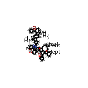 CCCCCCCC12CCC(CCCCC)(CCCCC)CCC3(CCCCCCC)c4ccccc4-c4c3c1c(c1oc3ccccc3c41)-c1ccc(N(c3ccc4c(c3)C(C)(C)c3cc5c(cc3-4)C(C)(C)c3ccc4oc6ccccc6c4c3-5)c3cccc4oc5ccccc5c34)cc12